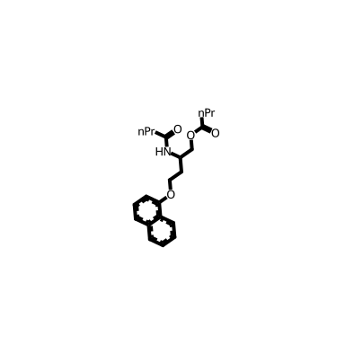 CCCC(=O)NC(CCOc1cccc2ccccc12)COC(=O)CCC